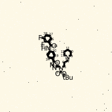 CC(C)(C)OC(=O)N(CCCN1CCCCC1)c1nnc(-c2ccc(NC(=O)c3cccc(F)c3F)cc2)o1